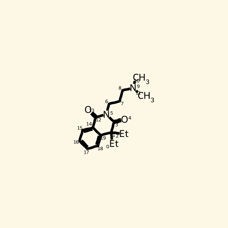 CCC1(CC)C(=O)N(CCCN(C)C)C(=O)c2ccccc21